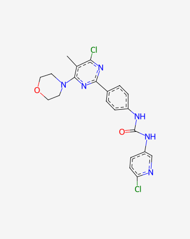 Cc1c(Cl)nc(-c2ccc(NC(=O)Nc3ccc(Cl)nc3)cc2)nc1N1CCOCC1